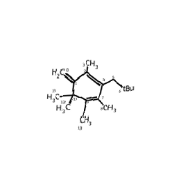 C=C1C(C)=C(CC(C)(C)C)C(C)=C(C)C1(C)C